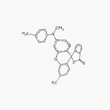 Cc1ccc(N(C)c2ccc3c(c2)Oc2cc(C)ccc2C32OC(=O)c3ccccc32)cc1